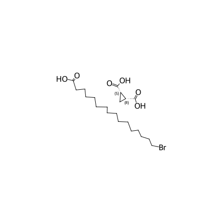 O=C(O)CCCCCCCCCCCCCCCBr.O=C(O)[C@H]1C[C@H]1C(=O)O